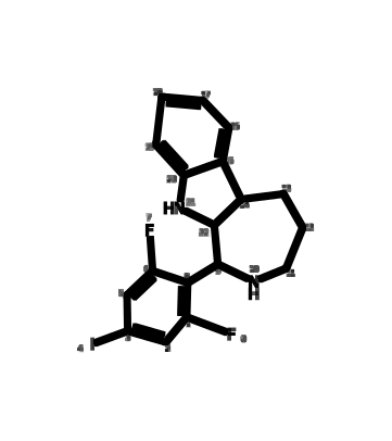 Fc1cc(I)cc(F)c1C1NCCCC2c3ccccc3NC21